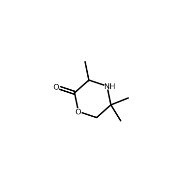 C[C]1NC(C)(C)COC1=O